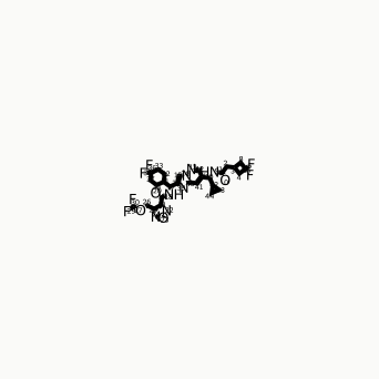 O=C(CC1CC(F)(F)C1)NC(c1cnn2cc([C@@H](NC(=O)c3nonc3COC(F)F)C3CCC(F)(F)CC3)nc2c1)C1CC1